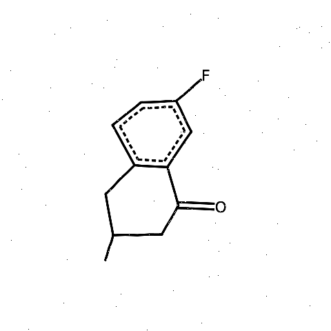 CC1CC(=O)c2cc(F)ccc2C1